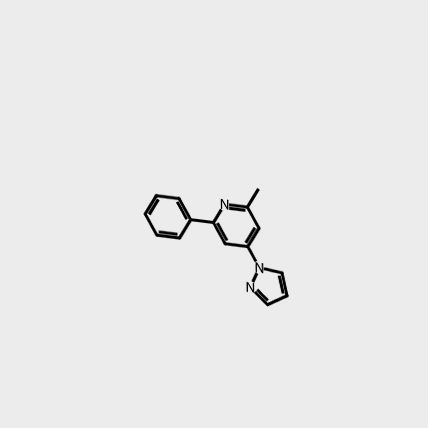 Cc1cc(-n2cccn2)cc(-c2ccccc2)n1